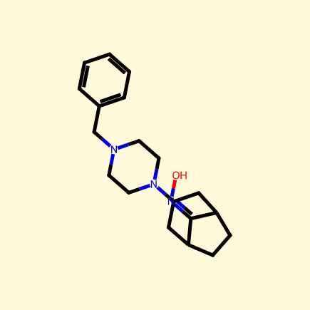 ON=C1C2CCC1CC(N1CCN(Cc3ccccc3)CC1)C2